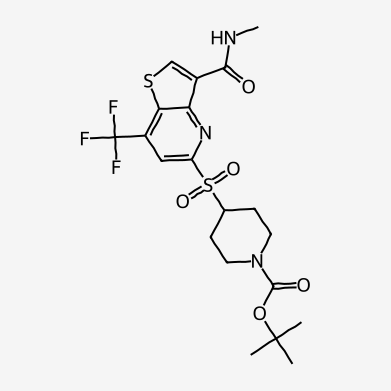 CNC(=O)c1csc2c(C(F)(F)F)cc(S(=O)(=O)C3CCN(C(=O)OC(C)(C)C)CC3)nc12